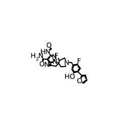 N#CCC1(n2cc(C(N)=O)c(NC=O)n2)CCN(Cc2cc(O)c(-c3ccco3)cc2F)CC1F